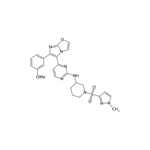 COc1cccc(-c2nc3occn3c2-c2ccnc(NC3CCCN(S(=O)(=O)c4ccn(C)n4)C3)n2)c1